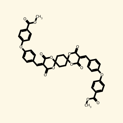 COC(=O)c1ccc(Oc2ccc(C=C3C(=O)OC4(CCC5(CC4)OC(=O)C(=Cc4ccc(Oc6ccc(C(=O)OC)cc6)cc4)C(=O)O5)OC3=O)cc2)cc1